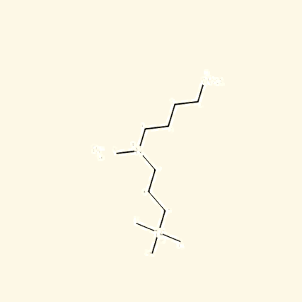 CCCCCCCCCCCCN(C)CCC[N+](C)(C)C.[Br-]